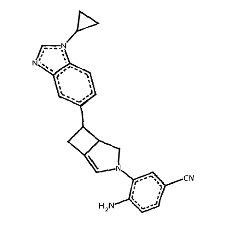 N#Cc1ccc(N)c(N2C=C3CC(c4ccc5c(c4)ncn5C4CC4)C3C2)c1